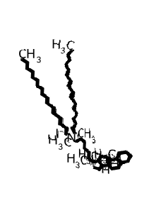 CCCCCCCCCCCCCCCCCC[N+](C)(CCCCCCCCCCCCCCCCCC)CC(C)CCC[C@@H](C)[C@H]1CC[C@H]2[C@@H]3CCC4CCCC[C@]4(C)[C@H]3CC[C@]12C.[I-]